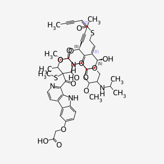 CC#C/C=C\C#C[C@H](OC1OC(C)C(SC)(C(=O)c2nccc3c2[nH]c2ccc(OCC(=O)O)cc23)C(O)C1OC1CC(OC)C(NC(C)C)CO1)C1=C(NC(=O)OC)C(=O)C[C@H](O)/C1=C/CSC(C)=O